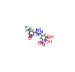 O=[N+]([O-])c1cc(-c2ncnc(-c3cc(C(F)(F)F)c[n+]([O-])c3)n2)cc(O)c1O